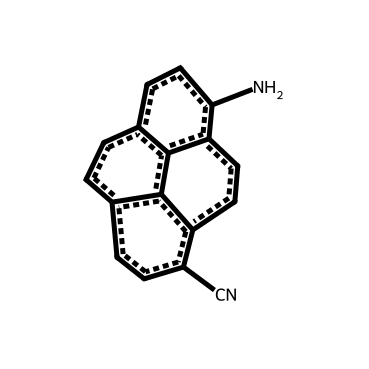 N#Cc1ccc2ccc3ccc(N)c4ccc1c2c34